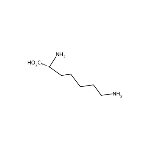 NCCCCC[C@@H](N)C(=O)O